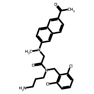 CC(=O)c1ccc2cc(N(C)CC(=O)N(CCCN)Cc3c(Cl)cccc3Cl)ccc2c1